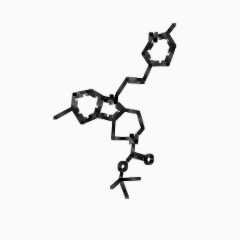 Cc1ccc2c(c1)c1c(n2C=Cc2ccc(C)nc2)CCN(C(=O)OC(C)(C)C)C1